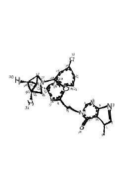 CC1C=Nc2ncn(Cc3nc([C@@]45C6[C@H]4[C@H]5CN6c4cc(Cl)ccn4)no3)c(=O)c21